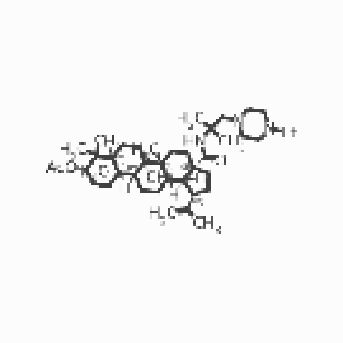 C=C(C)[C@@H]1CC[C@]2(C(=O)NC(C)(C)CN3CCN(CC)CC3)CC[C@]3(C)[C@H](CC[C@@H]4[C@@]5(C)CC[C@H](OC(C)=O)C(C)(C)[C@@H]5CC[C@]43C)[C@@H]12